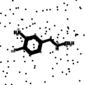 Nc1cc(CNC(=O)O)ccc1F